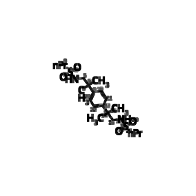 CCCS(=O)(=O)NCC(C)(C)c1ccc(C(C)(C)CNS(=O)(=O)CCC)cc1